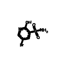 NS(=O)(=O)c1cc(Br)cnc1O